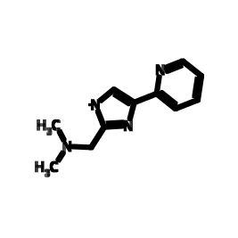 CN(C)CC1=NC(c2ccccn2)=C[N]1